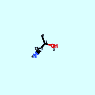 CC(O)[13C]#N